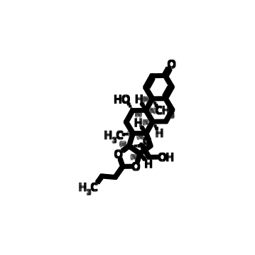 CCCC1O[C@H]2C[C@H]3[C@@H]4CCC5=CC(=O)C=C[C@]5(C)[C@H]4[C@@H](O)C[C@]3(C)[C@]2(C(=O)CO)O1